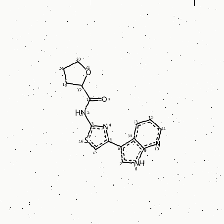 O=C(Nc1nc(-c2c[nH]c3ncccc23)cs1)C1CCCO1